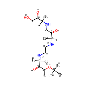 CCC(C)(NCC(=O)C(C)(CC)NCCNC(CC)(CC)C(=O)[C@H](C)OC(CC)(CC)C(C)=O)C(=O)CO